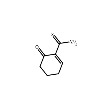 NC(=S)C1=CCCCC1=O